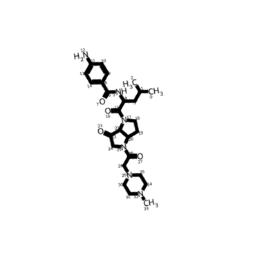 CC(C)CC(NC(=O)c1ccc(N)cc1)C(=O)N1CCC2C1C(=O)CN2C(=O)CN1CCN(C)CC1